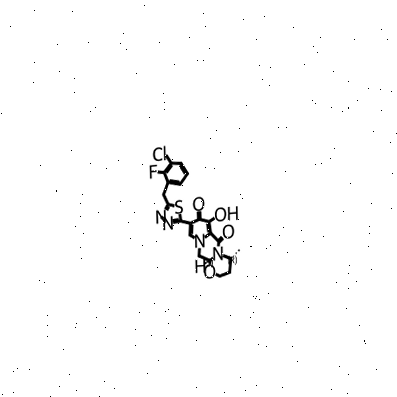 C[C@@H]1CCO[C@H]2Cn3cc(-c4nnc(Cc5cccc(Cl)c5F)s4)c(=O)c(O)c3C(=O)N12